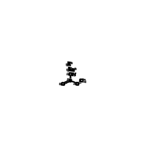 O=S([O-])O.[Cl-].[K+].[Na+]